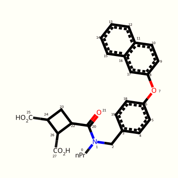 CCCN(Cc1ccc(Oc2ccc3ccccc3c2)cc1)C(=O)C1CC(C(=O)O)C1C(=O)O